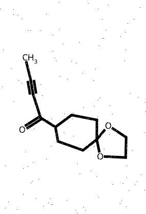 CC#CC(=O)C1CCC2(CC1)OCCO2